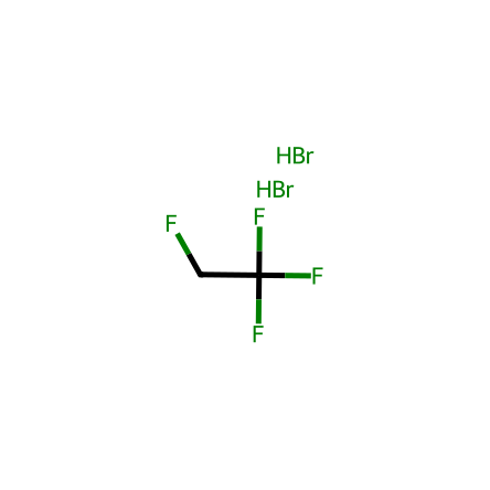 Br.Br.FCC(F)(F)F